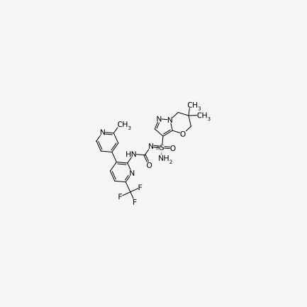 Cc1cc(-c2ccc(C(F)(F)F)nc2NC(=O)N=[S@](N)(=O)c2cnn3c2OCC(C)(C)C3)ccn1